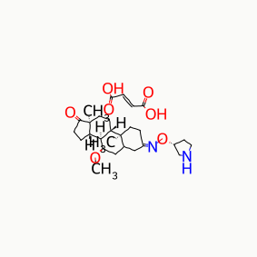 CO[C@@H]1CC2C/C(=N/O[C@@H]3CCNC3)CC[C@]2(C)[C@H]2CC[C@]3(C)C(=O)CC[C@H]3[C@H]12.O=C(O)/C=C/C(=O)O